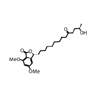 COc1cc(OC)c2c(c1)[C@@H](CCCCCCCCCC(=O)CC[C@@H](C)O)OC2=O